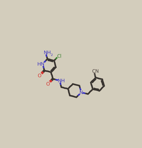 N#Cc1cccc(CN2CCC(CNC(=O)c3cc(Cl)c(N)[nH]c3=O)CC2)c1